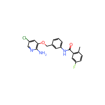 Cc1ccc(F)cc1C(=O)Nc1cccc(COc2cc(Cl)cnc2N)c1